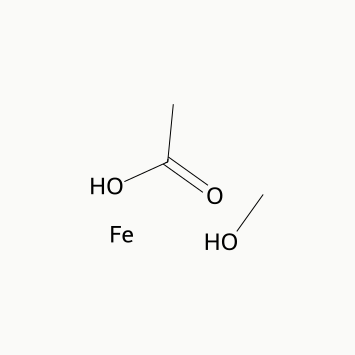 CC(=O)O.CO.[Fe]